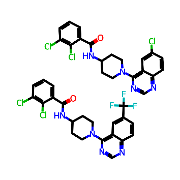 O=C(NC1CCN(c2ncnc3ccc(C(F)(F)F)cc23)CC1)c1cccc(Cl)c1Cl.O=C(NC1CCN(c2ncnc3ccc(Cl)cc23)CC1)c1cccc(Cl)c1Cl